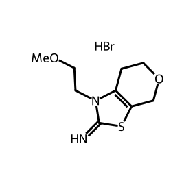 Br.COCCn1c2c(sc1=N)COCC2